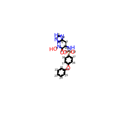 O=C(NO)[C@@H](Cc1c[nH]cn1)NS(=O)(=O)c1ccc(Oc2ccccc2)cc1